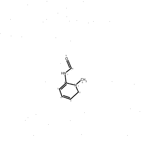 CN1CC=CC=C1NC=O